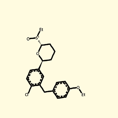 CCOc1ccc(Cc2cc([C@@H]3CCC[C@@H]([S+]([O-])CC)O3)ccc2Cl)cc1